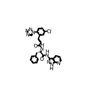 O=C(C=Cc1cc(Cl)ccc1-n1cnnn1)N[C@@H](Cc1ccccc1)C(=O)Nc1n[nH]c2ncccc12